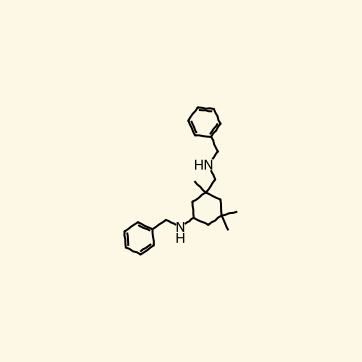 CC1(C)CC(NCc2ccccc2)CC(C)(CNCc2ccccc2)C1